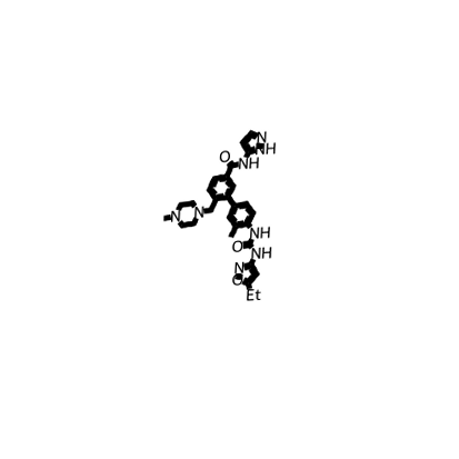 CCc1cc(NC(=O)Nc2ccc(-c3cc(C(=O)Nc4ccn[nH]4)ccc3CN3CCN(C)CC3)cc2C)no1